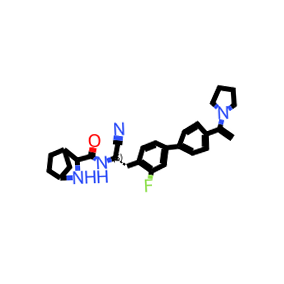 C=C(c1ccc(-c2ccc(C[C@@H](C#N)NC(=O)C3NC4CCC3C4)c(F)c2)cc1)N1CCCC1